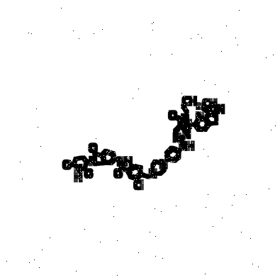 C=CCn1c(=O)c2cnc(Nc3ccc(N4CCN(Cc5ccc(C(=O)Nc6ccc7c(c6)CN(C6CCC(=O)NC6=O)C7=O)cc5Cl)CC4)cc3)nc2n1-c1ccc2c(n1)[C@@](O)(CC)CC2